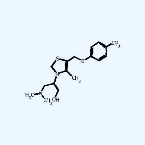 CC1=C(COc2ccc(C)cc2)SCN1C(CO)CN(C)C